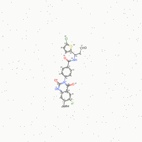 CNc1cc2[nH]c(=O)n(-c3ccc(C(=O)NC(CC=O)c4ccc(Cl)s4)cc3)c(=O)c2cc1F